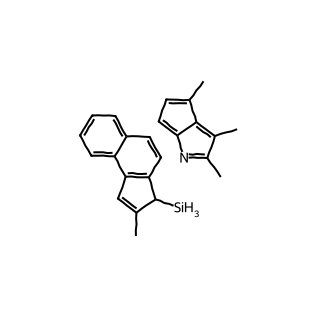 CC1=CC=C2N=C(C)C(C)=C12.CC1=Cc2c(ccc3ccccc23)C1[SiH3]